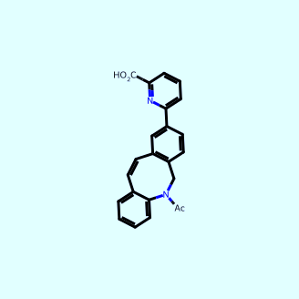 CC(=O)N1Cc2ccc(-c3cccc(C(=O)O)n3)cc2C=Cc2ccccc21